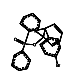 O=P(OC12C=CC=CC1(c1ccc(Br)cc1)S2)(c1ccccc1)c1ccccc1